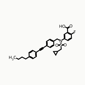 CCCCc1ccc(C#Cc2ccc(CN(c3ccc(F)c(C(=O)O)c3)S(=O)(=O)CC3CC3)cc2)cc1